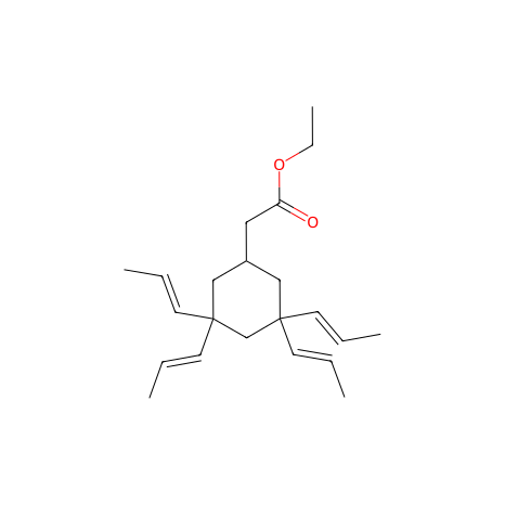 CC=CC1(C=CC)CC(CC(=O)OCC)CC(C=CC)(C=CC)C1